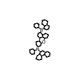 c1ccc(B(c2cccc3ccccc23)c2ccc3c4c(cccc24)Oc2cc(N(c4ccccc4)c4cc5ccccc5c5ccccc45)ccc2-3)cc1